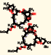 CC[C@H](C)[C@H]1O[C@]2(CC[C@@H]1C)C[C@@H]1C[C@@H](C/C=C(\C)[C@@H](OCOCCOC)[C@@H](C)/C=C/C=C3\CO[C@@H]4[C@H](O)C(C)=C[C@@H](C(=O)O1)[C@]34O)O2.COCCOCO[C@@H]1/C(C)=C/C[C@@H]2C[C@@H](C[C@]3(CC[C@H](C)[C@@H](C(C)C)O3)O2)OC(=O)[C@@H]2C=C(C)[C@@H](O)[C@H]3OC/C(=C\C=C\[C@@H]1C)[C@]32O